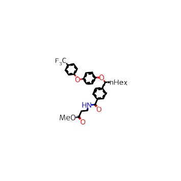 CCCCCCC(Oc1ccc(Oc2ccc(C(F)(F)F)cc2)cc1)c1ccc(C(=O)NCCC(=O)OC)cc1